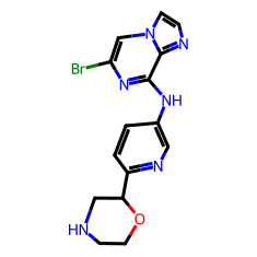 Brc1cn2ccnc2c(Nc2ccc(C3CNCCO3)nc2)n1